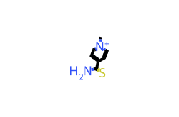 C[n+]1ccc(C(N)=S)cc1